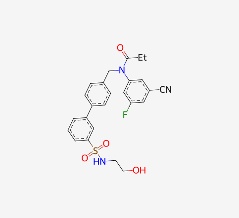 CCC(=O)N(Cc1ccc(-c2cccc(S(=O)(=O)NCCO)c2)cc1)c1cc(F)cc(C#N)c1